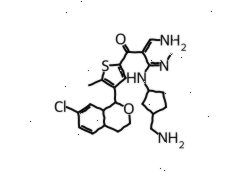 C/N=C(NC1CCC(CN)C1)\C(=C/N)C(=O)c1cc(C2OCCC3C=CC(Cl)=CC32)c(C)s1